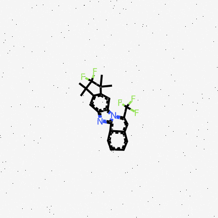 CC1(C)c2cc3nc4c5ccccc5cc(C(F)(F)F)n4c3cc2C(C)(C)C1(F)F